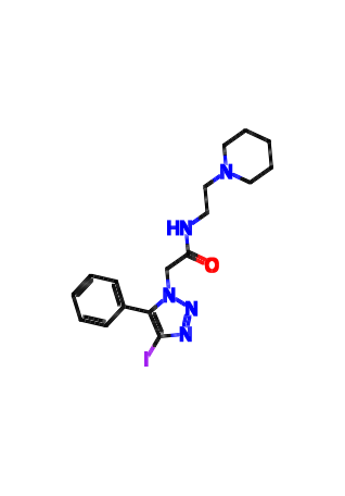 O=C(Cn1nnc(I)c1-c1ccccc1)NCCN1CCCCC1